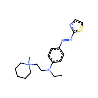 CCN(CC[N+]1(C)CCCCC1)c1ccc(N=Nc2nccs2)cc1